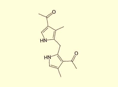 CC(=O)c1c[nH]c(Cc2[nH]cc(C)c2C(C)=O)c1C